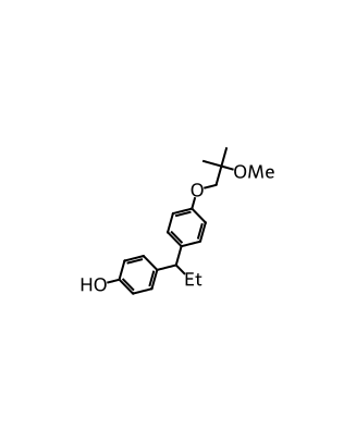 CCC(c1ccc(O)cc1)c1ccc(OCC(C)(C)OC)cc1